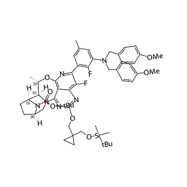 COc1ccc(CN(Cc2ccc(OC)cc2)c2cc(C)cc(-c3nc4c5c(nc(OCC6(CO[Si](C)(C)C(C)(C)C)CC6)nc5c3F)N3C[C@H]5CC[C@@H]([C@H]3[C@H](C)O4)N5C(=O)OC(C)(C)C)c2F)cc1